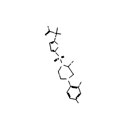 CC1CN(c2ccc(F)cc2C(F)(F)F)CCN1S(=O)(=O)c1ccc(C(O)(C(N)=O)C(F)(F)F)s1